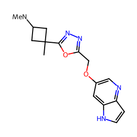 CNC1CC(C)(c2nnc(COc3cnc4cc[nH]c4c3)o2)C1